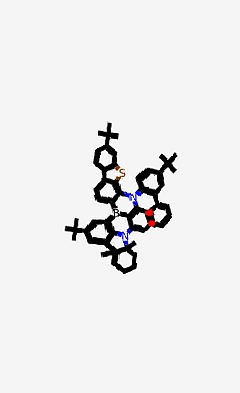 Cc1cc2c3c(c1)N1c4c(cc(C(C)(C)C)cc4C4(C)CCCCC14C)B3c1ccc3c(sc4cc(C(C)(C)C)ccc43)c1N2c1ccc(C(C)(C)C)cc1-c1ccccc1